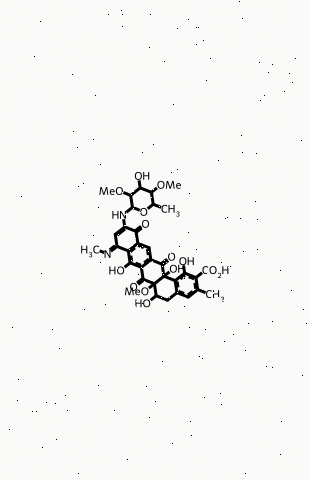 C/N=C1\C=C(NC2OC(C)C(OC)C(O)C2OC)C(=O)c2cc3c(c(O)c21)C(=O)C1(OC)C(O)Cc2cc(C)c(C(=O)O)c(O)c2C1(O)C3=O